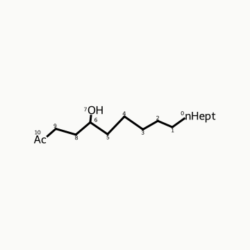 CCCCCCCCCCCCC(O)CCC(C)=O